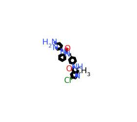 Cc1ncc(Cl)cc1C(=O)N[C@H]1CC[C@H](Cn2c(=O)n(-c3ccc(N)nc3)c3ccccc32)CC1